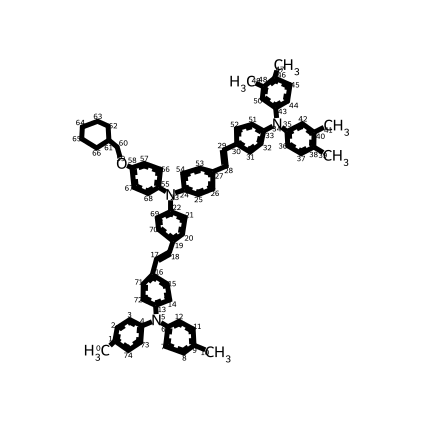 Cc1ccc(N(c2ccc(C)cc2)c2ccc(/C=C/c3ccc(N(c4ccc(/C=C/c5ccc(N(c6ccc(C)c(C)c6)c6ccc(C)c(C)c6)cc5)cc4)c4ccc(OCC5CCCCC5)cc4)cc3)cc2)cc1